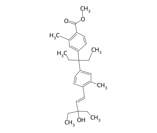 CCC(O)(/C=C/c1ccc(C(CC)(CC)c2ccc(C(=O)OC)c(C)c2)cc1C)CC